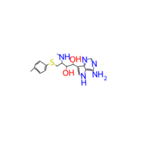 CNC(CSc1ccc(C)cc1)C(O)C(O)c1c[nH]c2c(N)ncnc12